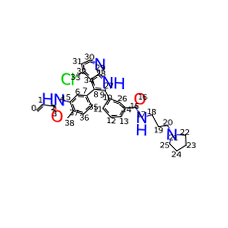 C=CC(=O)Nc1cc(-c2c(-c3cccc(C(=O)NCCCN4CCCC4)c3)[nH]c3nccc(Cl)c23)ccc1C